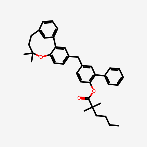 CCCCC(C)(C)C(=O)Oc1ccc(Cc2ccc3c(c2)-c2cccc(c2)CCC(C)(C)O3)cc1-c1ccccc1